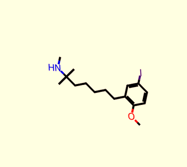 CNC(C)(C)CCCCCc1cc(I)ccc1OC